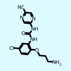 N#Cc1cnc(NC(=O)Nc2cc(Cl)ccc2OCCCN)cn1